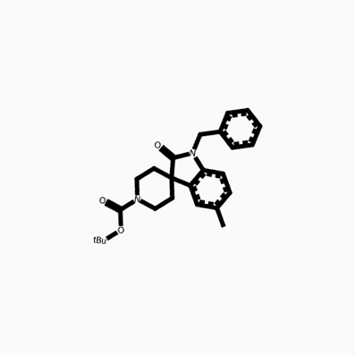 Cc1ccc2c(c1)C1(CCN(C(=O)OC(C)(C)C)CC1)C(=O)N2Cc1ccccc1